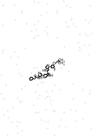 CN(C)CCOc1cc(F)cc(-c2nccc3[nH]c(-c4n[nH]c5cnc(-c6cncc(NC(=O)Cc7ccccc7)c6)cc45)cc23)c1